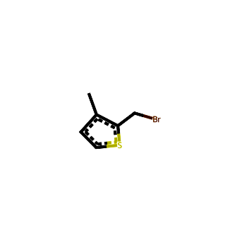 Cc1ccsc1CBr